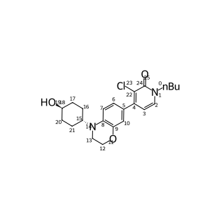 CCCCn1ccc(-c2ccc3c(c2)OCCN3[C@H]2CC[C@H](O)CC2)c(Cl)c1=O